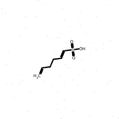 C=CCCC=CS(=O)(=O)O